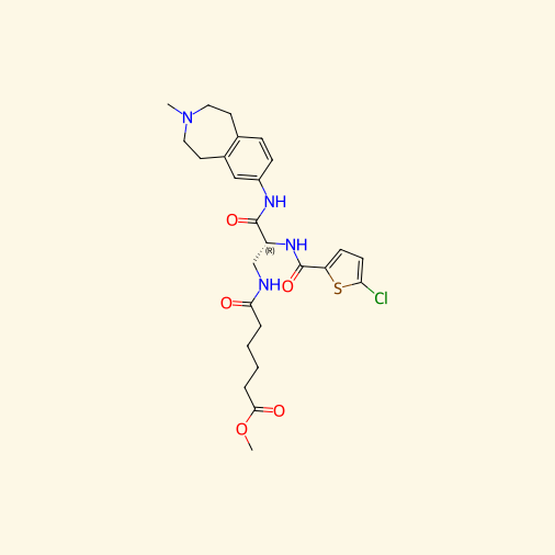 COC(=O)CCCCC(=O)NC[C@@H](NC(=O)c1ccc(Cl)s1)C(=O)Nc1ccc2c(c1)CCN(C)CC2